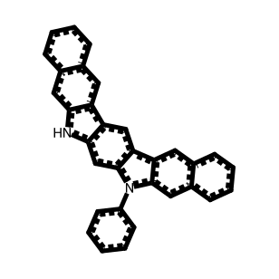 c1ccc(-n2c3cc4ccccc4cc3c3cc4c(cc32)[nH]c2cc3ccccc3cc24)cc1